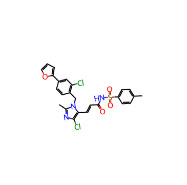 Cc1ccc(S(=O)(=O)NC(=O)C=Cc2c(Cl)nc(C)n2Cc2ccc(-c3ccco3)cc2Cl)cc1